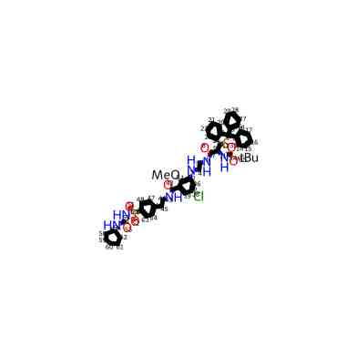 COc1c(NCCNC(=O)C(CSC(c2ccccc2)(c2ccccc2)c2ccccc2)NC(=O)OC(C)(C)C)cc(Cl)cc1C(=O)NCCc1ccc(S(=O)(=O)NC(=O)NC2CCCCC2)cc1